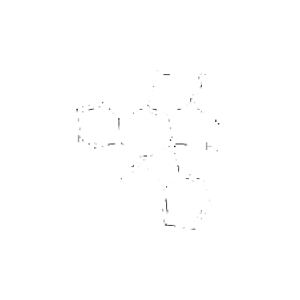 C[N+]1(c2ccccc2)C(C([N])=O)=C(O)c2ccncc2S1(=O)=O